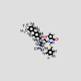 [2H]c1c([2H])c(CSc2nc(=O)c3c(n2CC(=O)N(C([2H])([2H])c2c([2H])c([2H])c(-c4c([2H])c([2H])c(C(F)(F)F)c(C)c4[2H])c([2H])c2[2H])C([2H])([2H])C([2H])([2H])N(CC)CC)CCC3)c([2H])c([2H])c1F